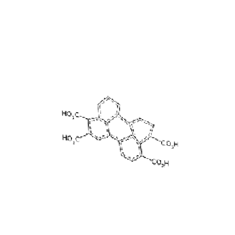 O=C(O)c1cc2c3ccc(C(=O)O)c4c(C(=O)O)ccc(c5cccc(c1C(=O)O)c52)c43